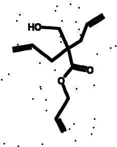 C=CCOC(=O)C(CO)(CC=C)CC=C